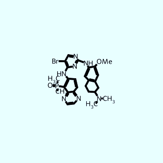 COc1cc2c(cc1Nc1ncc(Br)c(Nc3ccc4nccnc4c3P(C)(C)=O)n1)CCC(N(C)C)C2